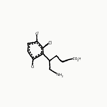 NCC(CCC(=O)O)c1c(Cl)ccc(Cl)c1Cl